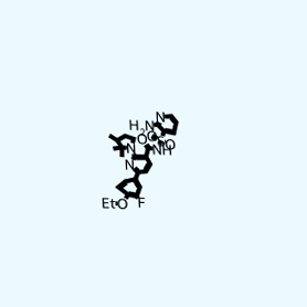 CCOc1ccc(-c2ccc(C(=O)NS(=O)(=O)c3cccnc3N)c(N3CCC(C)C3(C)C)n2)cc1F